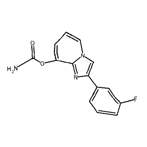 NC(=O)Oc1cccn2cc(-c3cccc(F)c3)nc12